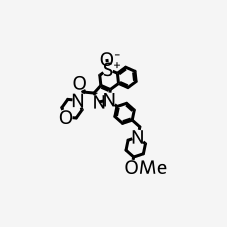 COC1CCN(Cc2ccc(-n3nc(C(=O)N4CCOCC4)c4c3-c3ccccc3[S+]([O-])C4)cc2)CC1